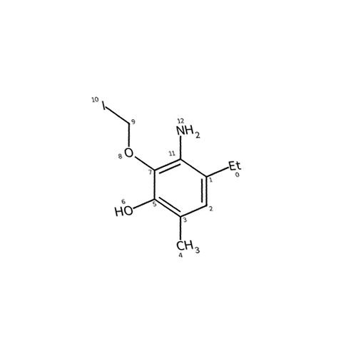 CCc1cc(C)c(O)c(OCI)c1N